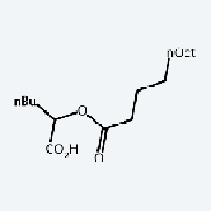 CCCCCCCCCCCC(=O)OC(CCCC)C(=O)O